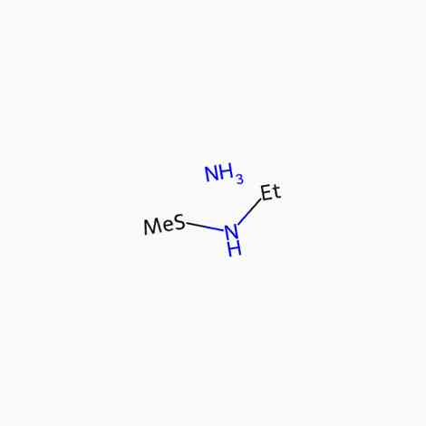 CCNSC.N